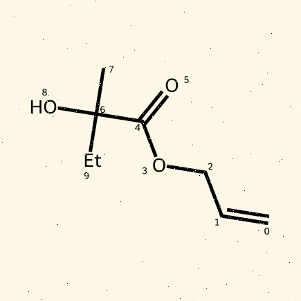 C=CCOC(=O)C(C)(O)CC